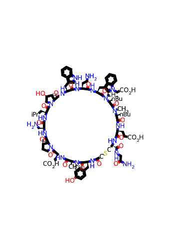 CCCC[C@H]1C(=O)N(C)[C@@H](CCCC)C(=O)N[C@@H](CCC(=O)O)C(=O)N[C@H](C(=O)NCC(N)=O)CSCC(=O)N[C@@H](Cc2ccc(O)cc2)C(=O)N(C)[C@@H](C)C(=O)N[C@@H](CC(=O)O)C(=O)N2CCC[C@H]2C(=O)N[C@@H](CN)C(=O)N[C@@H](CC(C)C)C(=O)N2C[C@H](O)C[C@H]2C(=O)N[C@@H](Cc2c[nH]c3ccccc23)C(=O)N[C@@H](CCN)C(=O)N[C@@H](Cc2cn(CC(=O)O)c3ccccc23)C(=O)N1C